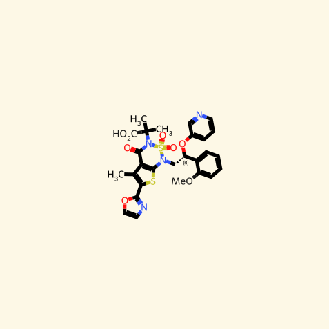 COc1ccccc1[C@H](CN1c2sc(-c3ncco3)c(C)c2C(=O)N(C(C)(C)C(=O)O)S1(=O)=O)Oc1cccnc1